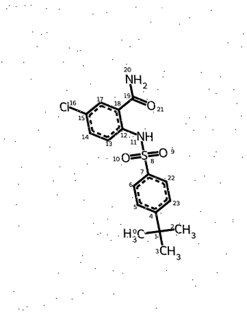 CC(C)(C)c1ccc(S(=O)(=O)Nc2ccc(Cl)cc2C(N)=O)cc1